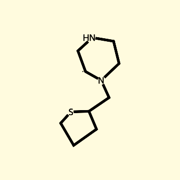 [CH]1CNCCN1CC1CCCS1